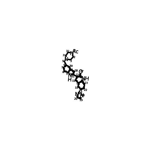 CC(=O)N1CCN(Cc2ccc3[nH]c(-c4cc5cc(-n6nccn6)ccc5[nH]c4=O)cc3c2)CC1